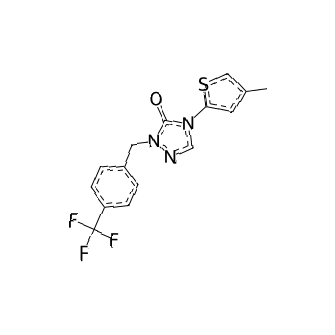 Cc1csc(-n2cnn(Cc3ccc(C(F)(F)F)cc3)c2=O)c1